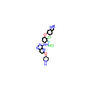 Cl.Cn1cc2ccc(Oc3ccc(Nc4ncnc5ccc(OC6CCNCC6)nc45)c(F)c3Cl)cc2n1